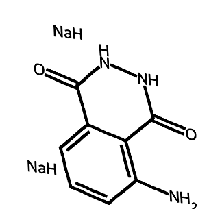 Nc1cccc2c(=O)[nH][nH]c(=O)c12.[NaH].[NaH]